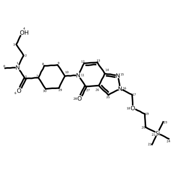 CN(CCO)C(=O)C1CCC(n2ccc3nn(COCC[Si](C)(C)C)cc3c2=O)CC1